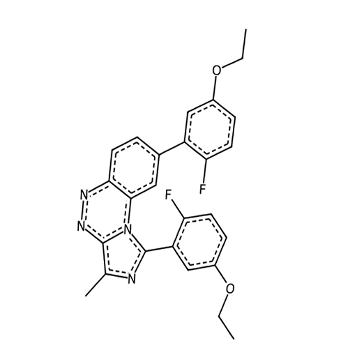 CCOc1ccc(F)c(-c2ccc3nnc4c(C)nc(-c5cc(OCC)ccc5F)n4c3c2)c1